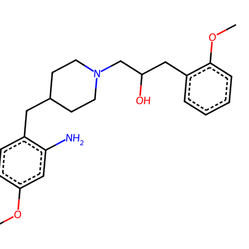 COc1ccc(CC2CCN(CC(O)Cc3ccccc3OC)CC2)c(N)c1